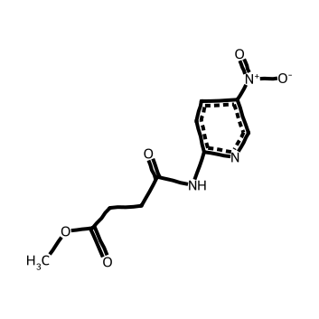 COC(=O)CCC(=O)Nc1ccc([N+](=O)[O-])cn1